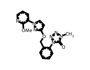 COc1ncccc1-n1ccc(OCc2ccccc2-n2nnn(C)c2=O)n1